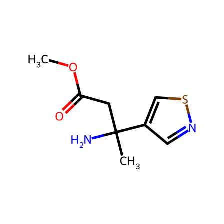 COC(=O)CC(C)(N)c1cnsc1